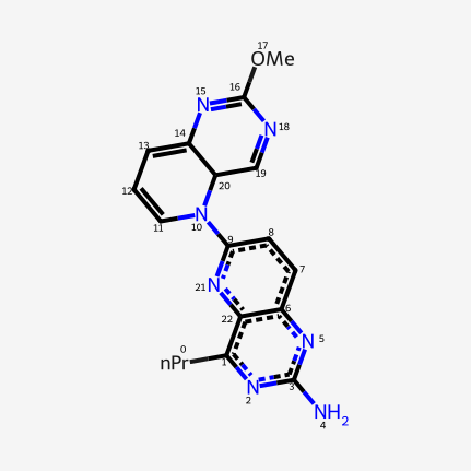 CCCc1nc(N)nc2ccc(N3C=CC=C4N=C(OC)N=CC43)nc12